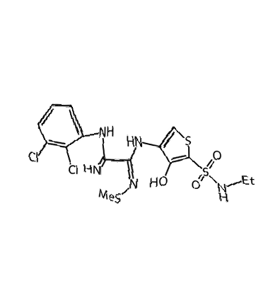 CCNS(=O)(=O)c1scc(N/C(=N/SC)C(=N)Nc2cccc(Cl)c2Cl)c1O